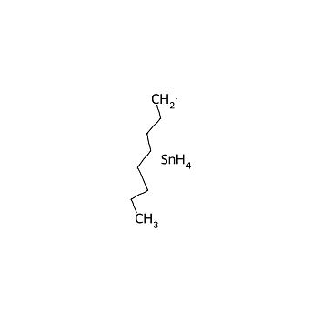 [CH2]CCCCCCC.[SnH4]